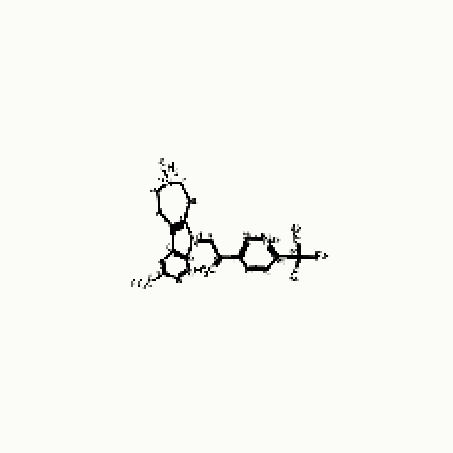 C=C(Cn1c2c(c3cc(C)ccc31)CCN(C)CC2)c1ccc(C(F)(F)F)nc1